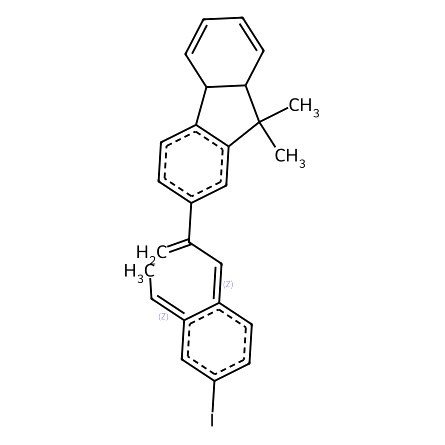 C=C(/C=c1/ccc(I)c/c1=C/C)c1ccc2c(c1)C(C)(C)C1C=CC=CC21